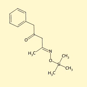 C/C(CC(=O)Cc1ccccc1)=N\O[Si](C)(C)C